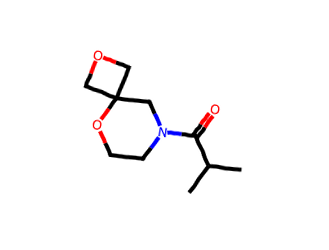 CC(C)C(=O)N1CCOC2(COC2)C1